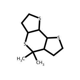 CC1(C)SC2CCSC2C2SCCC21